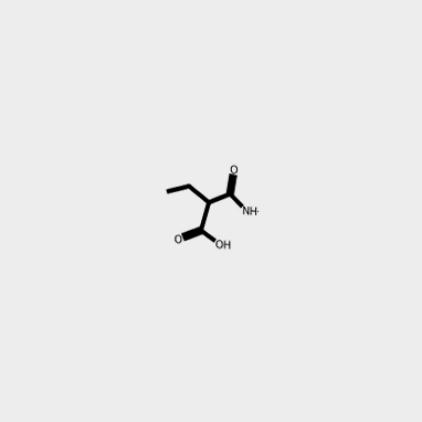 CCC(C([NH])=O)C(=O)O